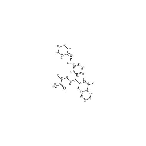 CC(=O)c1ccccc1CCC(SCC(C)C(=O)O)c1cccc(COC2CCCCO2)c1